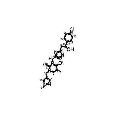 Cc1cn(Cc2cnn(C)c2)c(=O)n(Cc2nc(C[C@H](O)c3ccc(Cl)cc3)no2)c1=O